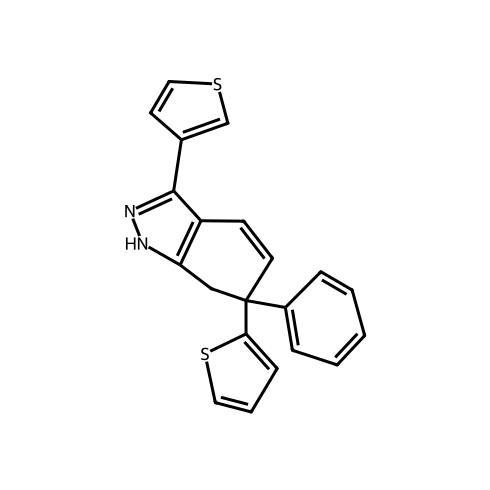 C1=CC(c2ccccc2)(c2cccs2)Cc2[nH]nc(-c3ccsc3)c21